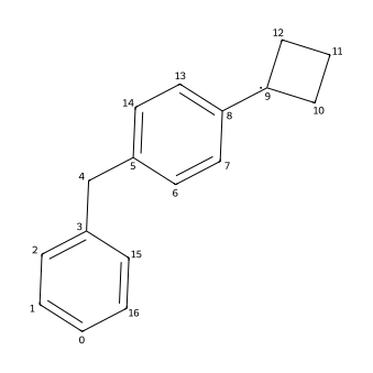 c1ccc(Cc2ccc([C]3CCC3)cc2)cc1